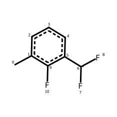 Cc1cccc([C](F)F)c1F